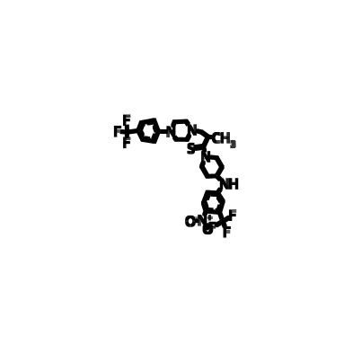 CC(CN1CCN(c2ccc(C(F)(F)F)cc2)CC1)C(=S)N1CCC(Nc2ccc([N+](=O)[O-])c(C(F)(F)F)c2)CC1